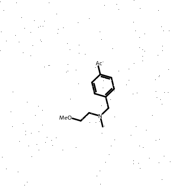 COCCN(C)Cc1ccc(C(C)=O)cc1